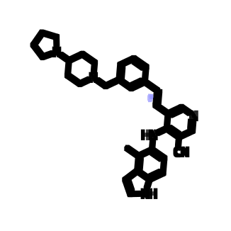 Cc1c(Nc2c(C#N)cncc2/C=C/c2cccc(CN3CCC(N4CCCC4)CC3)c2)ccc2[nH]ccc12